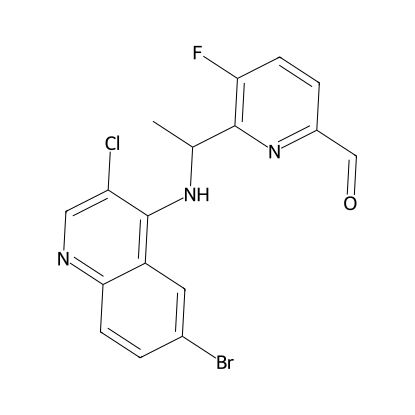 CC(Nc1c(Cl)cnc2ccc(Br)cc12)c1nc(C=O)ccc1F